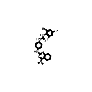 CN(C)c1nc(NC2CCC(NC(=S)Nc3c(F)cc(Br)cc3Br)CC2)nc2c1CCCC2